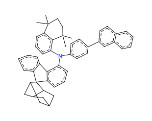 CC1(C)CCC(C)(C)c2c(N(c3ccc(-c4ccc5ccccc5c4)cc3)c3cccc4c3-c3ccccc3C43C4CC5CC(C4)C3C5)cccc21